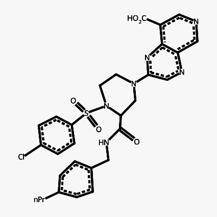 CCCc1ccc(CNC(=O)C2CN(c3cnc4cncc(C(=O)O)c4n3)CCN2S(=O)(=O)c2ccc(Cl)cc2)cc1